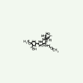 COCCNc1nc(N2[C@@H]3CC[C@H]2COC3)nc2nc(-c3ccc(OC)c(CO)c3)ccc12